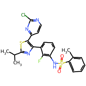 Cc1ccccc1S(=O)(=O)Nc1cccc(-c2nc(C(C)C)sc2-c2ccnc(Cl)n2)c1F